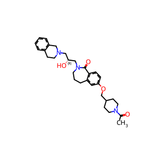 CC(=O)N1CCC(COc2ccc3c(c2)CCCN(C[C@H](O)CN2CCc4ccccc4C2)C3=O)CC1